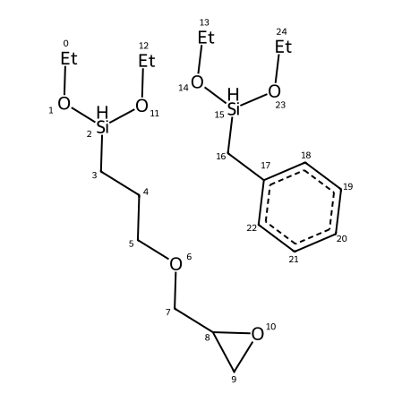 CCO[SiH](CCCOCC1CO1)OCC.CCO[SiH](Cc1ccccc1)OCC